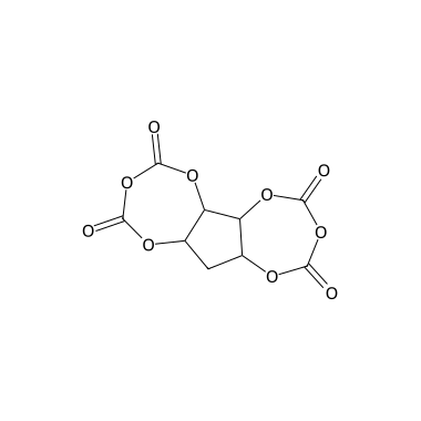 O=C1OC(=O)OC2C(CC3OC(=O)OC(=O)OC32)O1